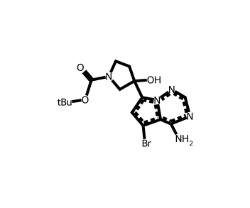 CC(C)(C)OC(=O)N1CCC(O)(c2cc(Br)c3c(N)ncnn23)C1